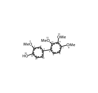 COc1cc(-c2[c]cc(OC)c(OC)c2OC)ccc1O